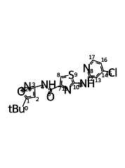 CC(C)(C)c1cc(NC(=O)c2csc(Nc3cc(Cl)ccn3)n2)no1